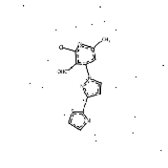 Cc1cc(-n2ccc(-c3nccs3)n2)c(C=O)c(Cl)n1